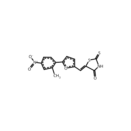 Cc1cc([N+](=O)[O-])ccc1-c1ccc(/C=C2\SC(=S)NC2=O)o1